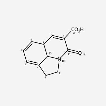 O=C(O)C1=CC2C=CC=C3CCN(C1=O)C32